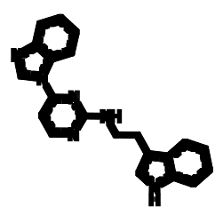 c1ccc2c(c1)ncn2-c1ccnc(NCCc2c[nH]c3ccccc23)n1